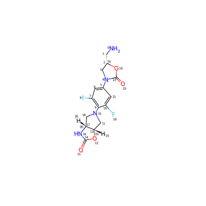 NC[C@H]1CN(c2cc(F)c(N3C[C@@H]4OC(=O)N[C@@H]4C3)c(F)c2)C(=O)O1